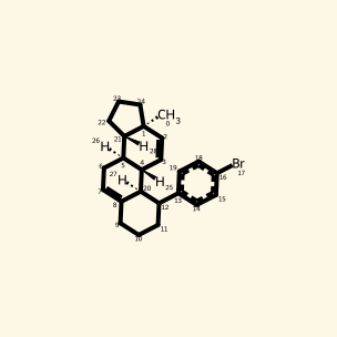 C[C@]12C=C[C@H]3[C@@H](CC=C4CCCC(c5ccc(Br)cc5)[C@@H]43)[C@@H]1CCC2